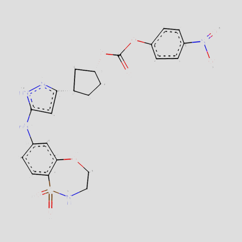 O=C(Oc1ccc([N+](=O)[O-])cc1)O[C@@H]1CC[C@H](c2cc(Nc3ccc4c(c3)OCCNS4(=O)=O)[nH]n2)C1